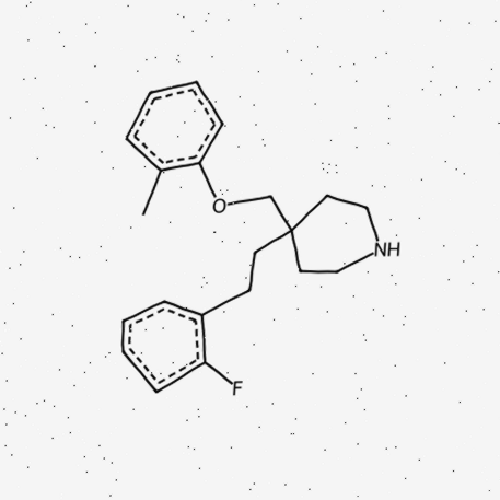 Cc1ccccc1OCC1(CCc2ccccc2F)CCNCC1